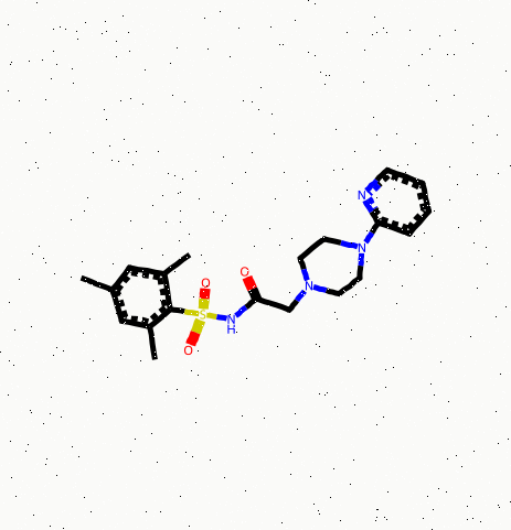 Cc1cc(C)c(S(=O)(=O)NC(=O)CN2CCN(c3ccccn3)CC2)c(C)c1